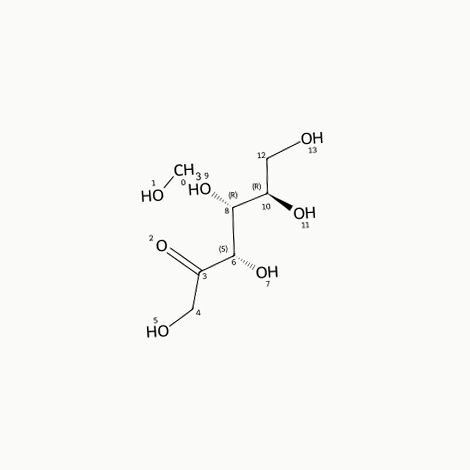 CO.O=C(CO)[C@@H](O)[C@H](O)[C@H](O)CO